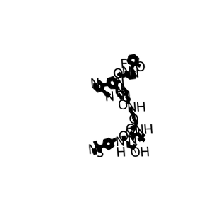 COc1cccc(F)c1-c1nccc(C(=O)Nc2ccc(-c3cnccc3C#N)cc2N2CCN(CC(=O)NCCOCC(=O)N[C@H](C(=O)N3C[C@H](O)C[C@H]3C(=O)NCc3ccc(-c4scnc4C)cc3)C(C)(C)C)CC2)n1